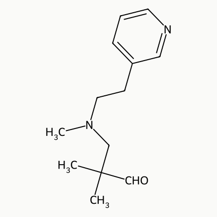 CN(CCc1cccnc1)CC(C)(C)C=O